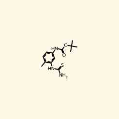 Cc1ccc(NC(=O)OC(C)(C)C)cc1NC(N)=S